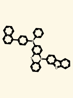 c1ccc(N(c2ccc(-c3cccc4ccccc34)cc2)c2ccc3c(c2)Sc2ccccc2N3c2ccc3c(c2)oc2ccccc23)cc1